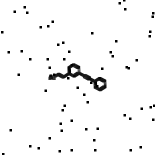 CC(=O)C=Cc1cccc(C#Cc2ccccc2)c1